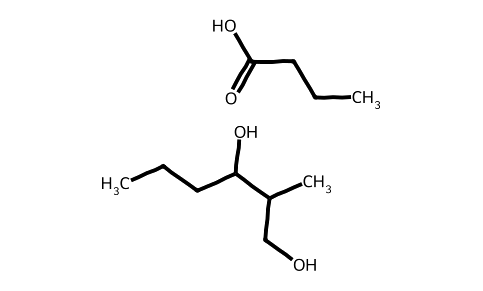 CCCC(=O)O.CCCC(O)C(C)CO